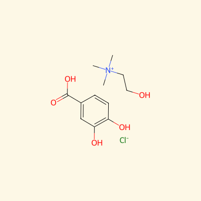 C[N+](C)(C)CCO.O=C(O)c1ccc(O)c(O)c1.[Cl-]